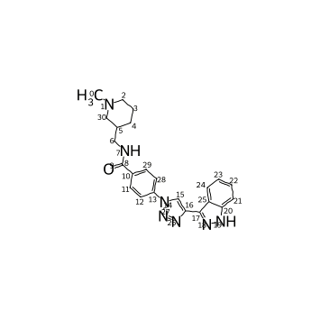 CN1CCCC(CNC(=O)c2ccc(-n3cc(-c4n[nH]c5ccccc45)nn3)cc2)C1